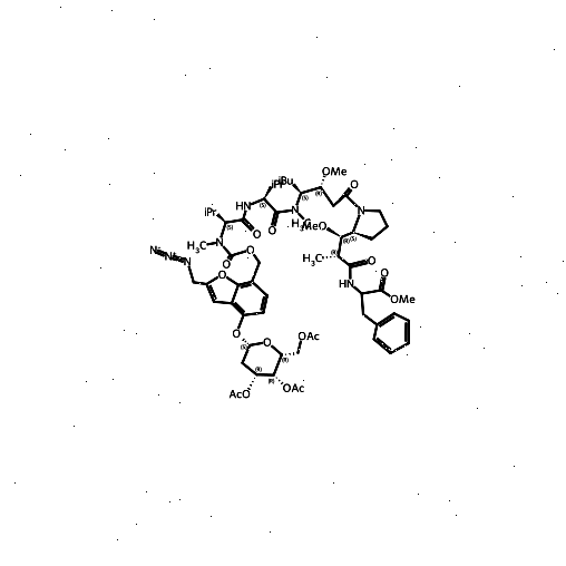 CCC(C)[C@@H]([C@@H](CC(=O)N1CCC[C@H]1[C@H](OC)[C@@H](C)C(=O)NC(Cc1ccccc1)C(=O)OC)OC)N(C)C(=O)[C@@H](NC(=O)[C@H](C(C)C)N(C)C(=O)OCc1ccc(O[C@H]2C[C@@H](OC(C)=O)[C@@H](OC(C)=O)[C@@H](COC(C)=O)O2)c2cc(CN=[N+]=[N-])oc12)C(C)C